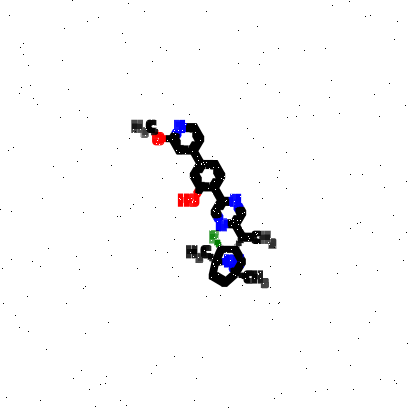 C=C(c1cnc(-c2ccc(-c3ccnc(OC)c3)cc2O)cn1)[C@@H]1C[C@@]2(C)C=C[C@](C)(N2)[C@@H]1F